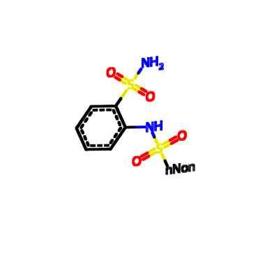 CCCCCCCCCS(=O)(=O)Nc1ccccc1S(N)(=O)=O